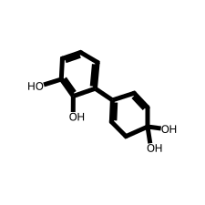 Oc1cccc(C2=CCC(O)(O)C=C2)c1O